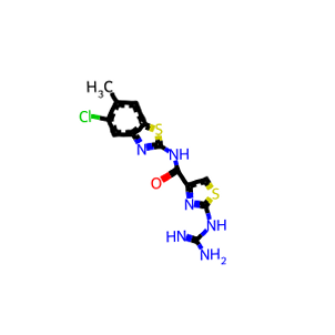 Cc1cc2sc(NC(=O)c3csc(NC(=N)N)n3)nc2cc1Cl